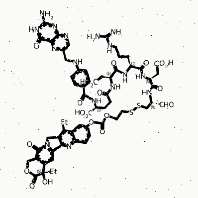 CCc1c2c(nc3ccc(OC(=O)OCCSSC[C@@H](C=O)NC(=O)[C@H](CC(=O)O)NC(=O)[C@H](CCCNC(=N)N)NC(=O)[C@H](CC(=O)O)NC(=O)CC[C@H](NC(=O)c4ccc(NCc5cnc6nc(N)[nH]c(=O)c6n5)cc4)C(=O)O)cc13)-c1cc3c(c(=O)n1C2)COC(=O)[C@]3(O)CC